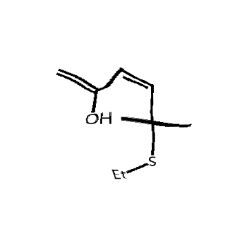 C=C(O)/C=C\C(C)(C)SCC